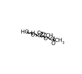 CC(=O)OCCOCCOCCOCCO.CCOCC